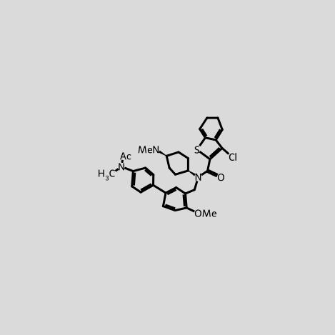 CN[C@H]1CC[C@@H](N(Cc2cc(-c3ccc(N(C)C(C)=O)cc3)ccc2OC)C(=O)c2sc3c(c2Cl)=CCCC=3)CC1